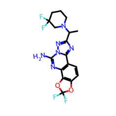 CC(c1nc2c3ccc4c(c3nc(N)n2n1)OC(F)(F)O4)N1CCCC(F)(F)C1